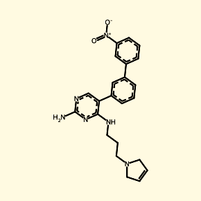 Nc1ncc(-c2cccc(-c3cccc([N+](=O)[O-])c3)c2)c(NCCCN2CC=CC2)n1